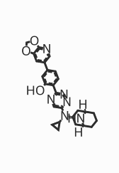 Oc1cc(-c2cnc3c(c2)OCO3)ccc1-c1ncc(N(C2CC2)[C@@H]2C[C@H]3CCC[C@@H](C2)N3)nn1